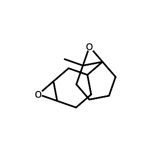 CC12CCCCC1(C1CCC3OC3C1)O2